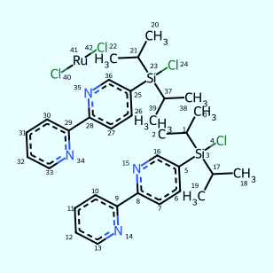 CC(C)[Si](Cl)(c1ccc(-c2ccccn2)nc1)C(C)C.CC(C)[Si](Cl)(c1ccc(-c2ccccn2)nc1)C(C)C.[Cl][Ru][Cl]